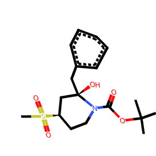 CC(C)(C)OC(=O)N1CC[C@@H](S(C)(=O)=O)C[C@]1(O)Cc1ccccc1